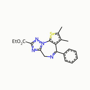 CCOC(=O)c1nc2n(n1)-c1sc(C)c(C)c1C(c1ccccc1)=NC2